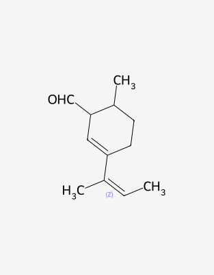 C/C=C(/C)C1=CC(C=O)C(C)CC1